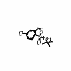 CC(C)(C)NS(=O)(=O)c1ccc(Cl)cc1[C]=O